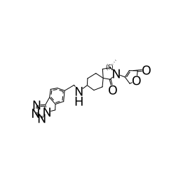 C[C@H]1CC2(CCC(NCc3ccc4c(c3)Cn3nnnc3-4)CC2)C(=O)N1C1=CC(=O)OC1